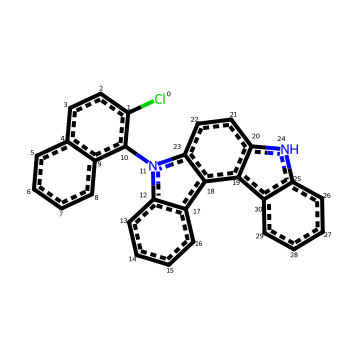 Clc1ccc2ccccc2c1-n1c2ccccc2c2c3c(ccc21)[nH]c1ccccc13